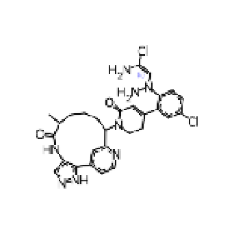 CC1CCCC(N2CCC(c3cc(Cl)ccc3N(N)/C=C(\N)Cl)=CC2=O)c2cc(ccn2)-c2[nH]ncc2NC1=O